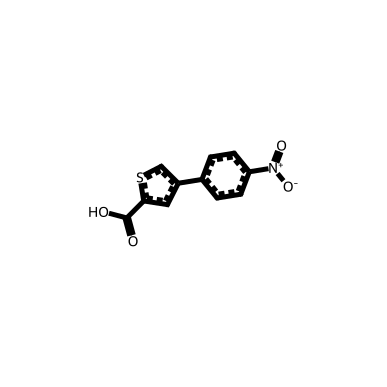 O=C(O)c1cc(-c2ccc([N+](=O)[O-])cc2)cs1